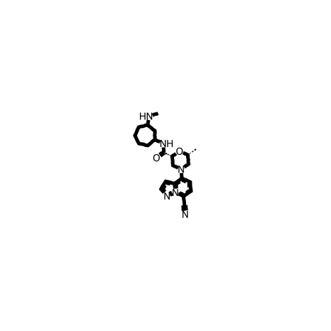 CNC1CCCCC(NC(=O)[C@H]2CN(c3ccc(C#N)n4nccc34)C[C@@H](C)O2)C1